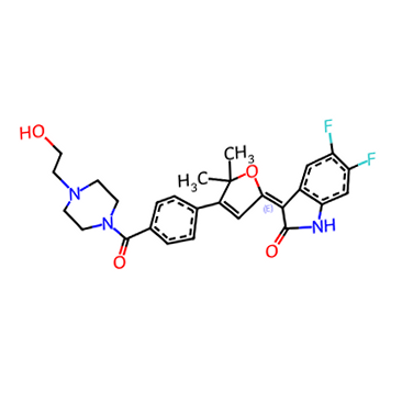 CC1(C)O/C(=C2/C(=O)Nc3cc(F)c(F)cc32)C=C1c1ccc(C(=O)N2CCN(CCO)CC2)cc1